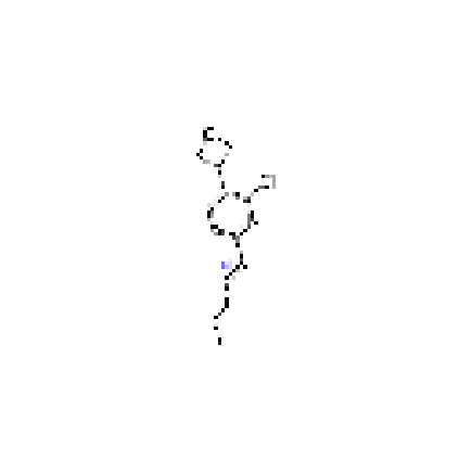 CCO/C=C/c1ccc(C2COC2)c(Cl)n1